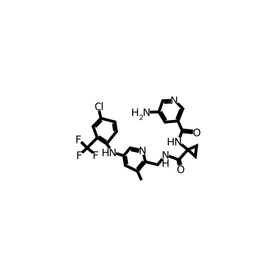 Cc1cc(Nc2ccc(Cl)cc2C(F)(F)F)cnc1CNC(=O)C1(NC(=O)c2cncc(N)c2)CC1